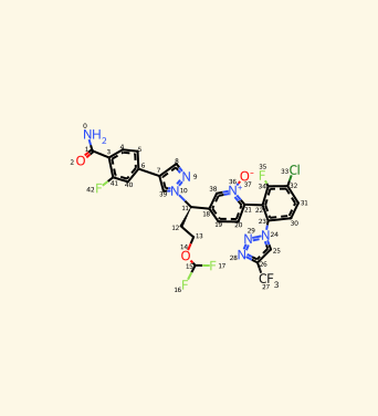 NC(=O)c1ccc(-c2cnn([C@H](CCOC(F)F)c3ccc(-c4c(-n5cc(C(F)(F)F)nn5)ccc(Cl)c4F)[n+]([O-])c3)c2)cc1F